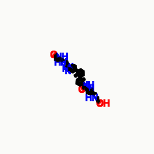 Cc1c(NC(=O)c2ccc(CNCCO)cn2)cccc1-c1cccc(-c2ccn3c(CNC[C@@H]4CCC(=O)N4)nnc3c2)c1C